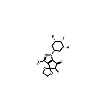 O=C1c2c(c(C(F)(F)F)nn2[C@@H]2C[C@@H](F)[C@@H](F)[C@@H](F)C2)C2(OCCO2)C1F